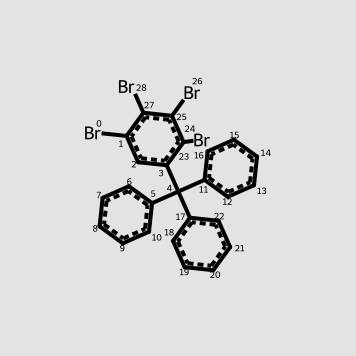 Brc1cc(C(c2ccccc2)(c2ccccc2)c2ccccc2)c(Br)c(Br)c1Br